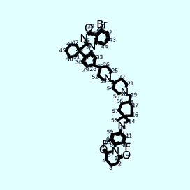 O=C1CCCC(=O)N1c1c(F)cc(N2CC3(CCC(CN4CCC(N5CCC(c6ccc7c(c6)-n6c(nc(=O)c8c(Br)cccc86)C76CCCCC6)CC5)CC4)CC3)C2)cc1F